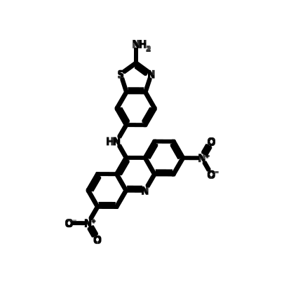 Nc1nc2ccc(Nc3c4ccc([N+](=O)[O-])cc4nc4cc([N+](=O)[O-])ccc34)cc2s1